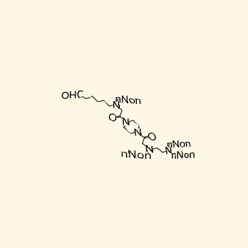 CCCCCCCCCN(CCCCCCCCC)CCN(CCCCCCCCC)CC(=O)N1CCN(C(=O)CN(CCCCCC=O)CCCCCCCCC)CC1